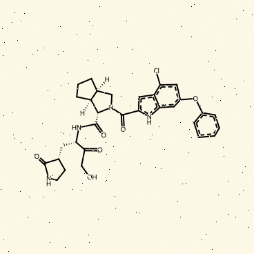 O=C1NCC[C@H]1C[C@H](NC(=O)[C@@H]1[C@H]2CCC[C@H]2CN1C(=O)c1cc2c(Cl)cc(Oc3ccccc3)cc2[nH]1)C(=O)CO